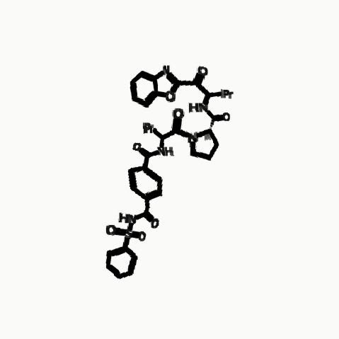 CC(C)C(NC(=O)[C@@H]1CCCN1C(=O)C(NC(=O)c1ccc(C(=O)NS(=O)(=O)c2ccccc2)cc1)C(C)C)C(=O)c1nc2ccccc2o1